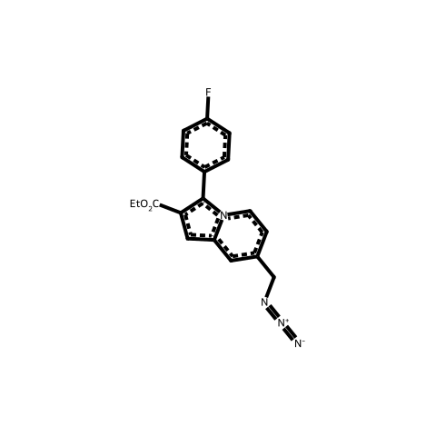 CCOC(=O)c1cc2cc(CN=[N+]=[N-])ccn2c1-c1ccc(F)cc1